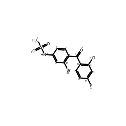 CS(=O)(=O)Nc1ccc(C(=O)c2ccc(F)cc2Cl)c(Br)c1